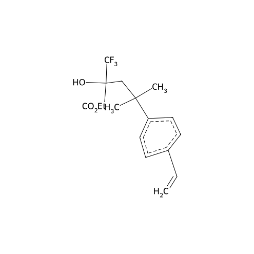 C=Cc1ccc(C(C)(C)CC(O)(C(=O)OCC)C(F)(F)F)cc1